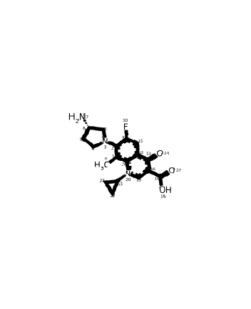 Cc1c(N2CC[C@H](N)C2)c(F)cc2c(=O)c(C(=O)O)cn(C3CC3)c12